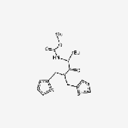 CCCCC(NC(=O)OC(C)(C)C)C(=O)N(Cc1cccs1)Cc1cccs1